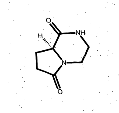 O=C1NCCN2C(=O)CC[C@@H]12